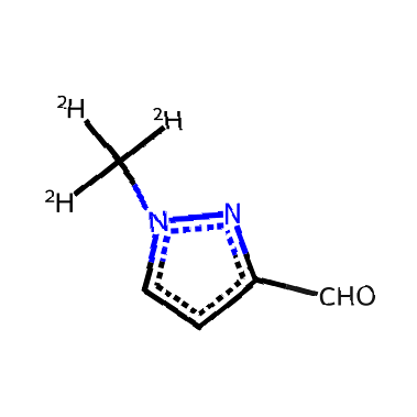 [2H]C([2H])([2H])n1ccc(C=O)n1